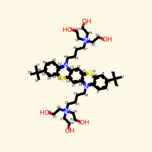 CC(C)(C)c1ccc2c(c1)sc1cc3c(cc1n2CCCC[N+](CCO)(CCO)CCO)sc1cc(C(C)(C)C)ccc1n3CCCC[N+](CCO)(CCO)CCO